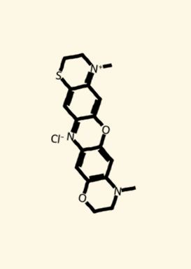 CN1CCOc2cc3c(cc21)Oc1cc2c(cc1=N3)SCC[N+]=2C.[Cl-]